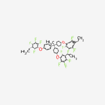 C=Cc1c(F)c(F)c(F)c(Oc2ccc(C(C)(c3ccc(Oc4c(F)c(F)c(F)c(C=C)c4F)cc3)c3ccc(Oc4c(F)c(F)c(F)c(C=C)c4F)cc3)cc2)c1F